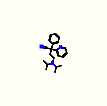 CC(C)N(CCC(C#N)(c1ccccc1)c1ccccn1)C(C)C